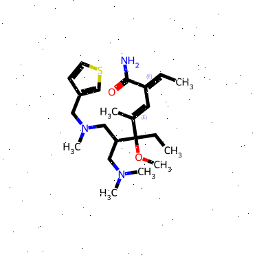 C/C=C(\C=C(/C)C(CC)(OC)C(CN(C)C)CN(C)Cc1ccsc1)C(N)=O